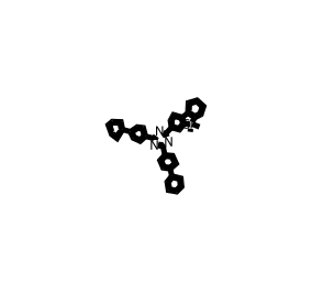 C[Si]1(C)c2ccccc2-c2ccc(-c3nc(-c4ccc(-c5ccccc5)cc4)nc(-c4ccc(-c5ccccc5)cc4)n3)cc21